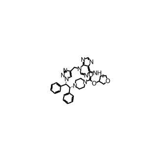 Nc1ncn(Cc2cn([C@@H](c3ccccc3)[C@@H](c3ccccc3)N3CCN(C(=O)OC4CCOC4)CC3)nn2)c2ncnc1-2